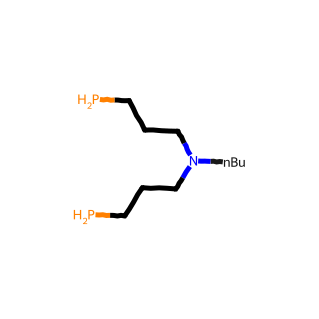 CCCCN(CCCP)CCCP